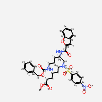 COC(=O)CCCCCN(C[C@@H](CCCNC(=O)OCc1ccccc1)NC(=O)c1cc2ccccc2o1)S(=O)(=O)c1ccc([N+](=O)[O-])cc1